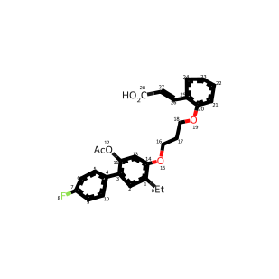 CCc1cc(-c2ccc(F)cc2)c(OC(C)=O)cc1OCCCOc1ccccc1C=CC(=O)O